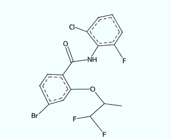 CC(Oc1cc(Br)ccc1C(=O)Nc1c(F)cccc1Cl)C(F)F